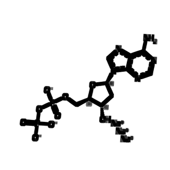 Nc1ncnc2c1ncn2[C@H]1C[C@H](O)[C@@H](COP(=O)([O-])OP(=O)([O-])[O-])O1.[Na+].[Na+].[Na+]